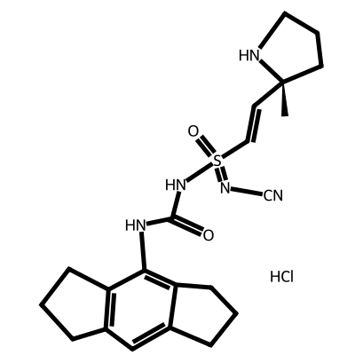 C[C@]1(/C=C/S(=O)(=NC#N)NC(=O)Nc2c3c(cc4c2CCC4)CCC3)CCCN1.Cl